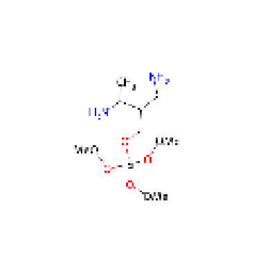 COO[Si](OCC(CN)C(C)N)(OOC)OOC